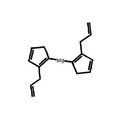 C=CCC1=[C]([Mg][C]2=C(CC=C)C=CC2)CC=C1